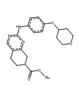 CC(C)(C)OC(=O)N1CCc2cnc(Nc3ccc(OC4CCOCC4)cc3)nc2C1